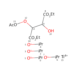 CC(C)[O-].CC(C)[O-].CC(C)[O-].CC(C)[O-].CCOC(=O)C(O)C(OOC(C)=O)C(=O)OCC.[Ti+4]